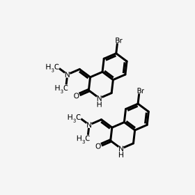 CN(C)C=C1C(=O)NCc2ccc(Br)cc21.CN(C)C=C1C(=O)NCc2ccc(Br)cc21